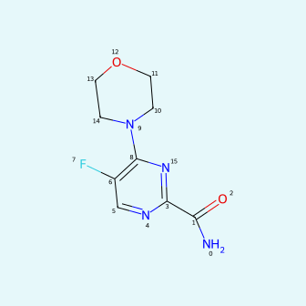 NC(=O)c1ncc(F)c(N2CCOCC2)n1